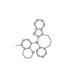 Cc1ccc(N2c3ccccc3CCCc3c2oc2ccccc32)c2c1CCCO2